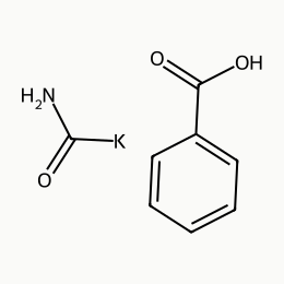 N[C](=O)[K].O=C(O)c1ccccc1